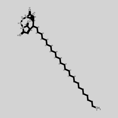 CCCCCCCCCCCCCCCCCCCCCCCCCCCC1C2=CC(=O)N(SSN3C(=O)C=C1C3=O)C2=O